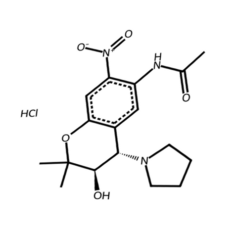 CC(=O)Nc1cc2c(cc1[N+](=O)[O-])OC(C)(C)[C@H](O)[C@H]2N1CCCC1.Cl